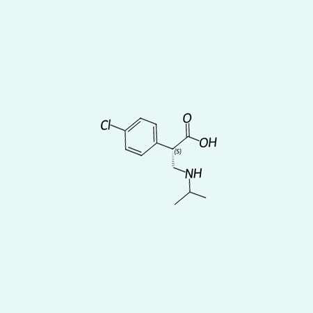 CC(C)NC[C@@H](C(=O)O)c1ccc(Cl)cc1